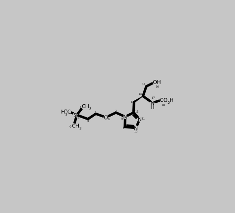 C[Si](C)(C)CCOCn1cnnc1C[C@@H](CO)NC(=O)O